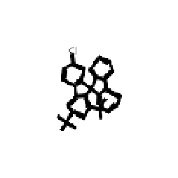 CC(C)(C)c1cc2c(c(C(C)(C)C)c1)C1(c3ccccc3-c3ccccc31)c1cc(Cl)ccc1-2